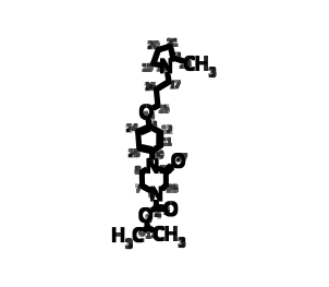 CC(C)OC(=O)N1CCN(c2ccc(OCCCN3CCCC3C)cc2)C(=O)C1